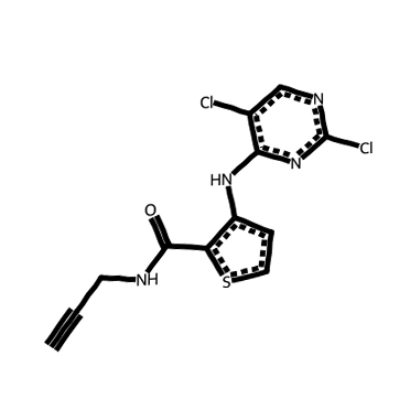 C#CCNC(=O)c1sccc1Nc1nc(Cl)ncc1Cl